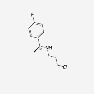 C[C@H](NCCCCl)c1ccc(F)cc1